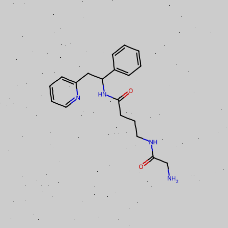 NCC(=O)NCCCC(=O)NC(Cc1ccccn1)c1ccccc1